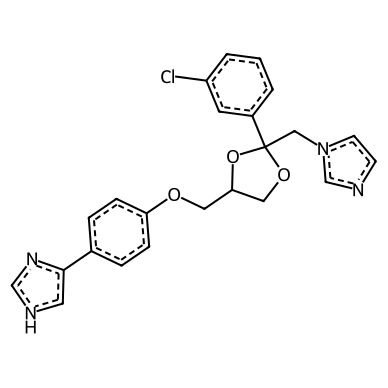 Clc1cccc(C2(Cn3ccnc3)OCC(COc3ccc(-c4c[nH]cn4)cc3)O2)c1